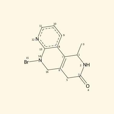 CC1NC(=O)CC2=C1c1cccnc1N(Br)C2